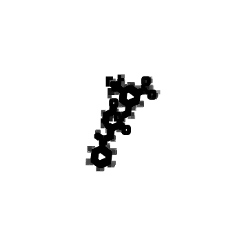 CN(/C=C(\N=C/C=O)C(=O)NCc1cc([N+](=O)[O-])cc(C(F)(F)F)c1)c1ccccc1